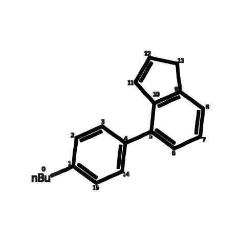 CCCCc1ccc(-c2cccc3c2C=CC3)cc1